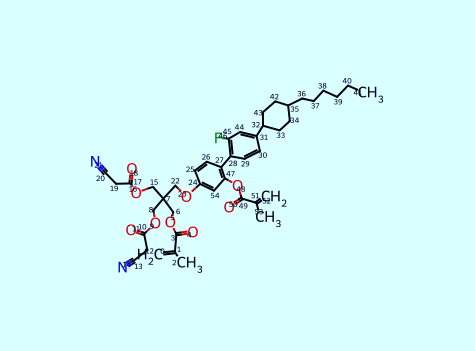 C=C(C)C(=O)OCC(COC(=O)CC#N)(COC(=O)CC#N)COc1ccc(-c2ccc(C3CCC(CCCCCC)CC3)cc2F)c(OC(=O)C(=C)C)c1